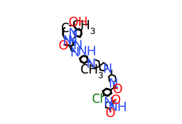 Cc1ccc(Nc2ncc3c(=O)n4n(c3n2)-c2cccc(n2)[C@](C)(O)CC/C=C\C4)cc1N1CCC2(CCN(CC3CCN(C(=O)c4ccc(Cl)c(N5CCC(=O)NC5=O)c4)CC3)CC2)CC1